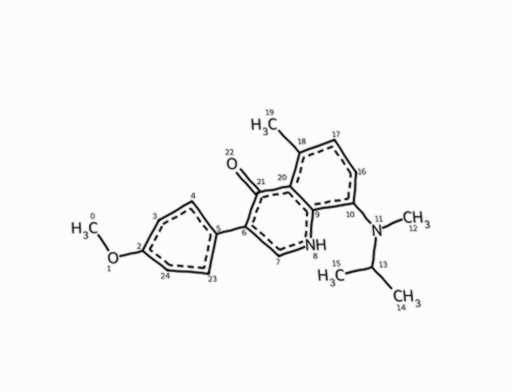 COc1ccc(-c2c[nH]c3c(N(C)C(C)C)ccc(C)c3c2=O)cc1